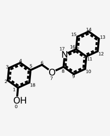 Oc1cccc(COc2ccc3ccccc3n2)c1